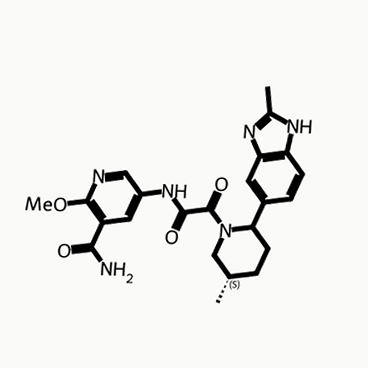 COc1ncc(NC(=O)C(=O)N2C[C@@H](C)CCC2c2ccc3[nH]c(C)nc3c2)cc1C(N)=O